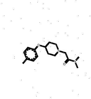 Cc1ccc(OC2CCN(CC(=O)N(C)C)CC2)cc1